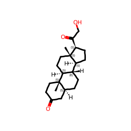 C[C@]12CCC(=O)C[C@@H]1CC[C@@H]1[C@@H]2CC[C@]2(C)[C@@H](C(=O)CO)CC[C@@H]12